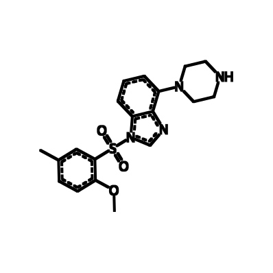 COc1ccc(C)cc1S(=O)(=O)n1cnc2c(N3CCNCC3)cccc21